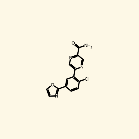 NC(=O)c1cnc(-c2cc(-c3ncco3)ccc2Cl)cn1